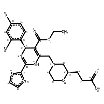 CCOC(=O)C1=C(CN2CCO[C@H](CCC(=O)O)C2)NC(c2nccs2)=N[C@H]1c1ccc(F)cc1Cl